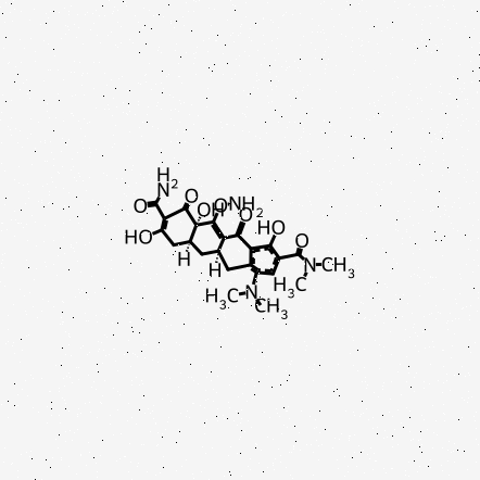 CN(C)C(=O)c1cc(N(C)C)c2c(c1O)C(=O)C1=C(ON)[C@]3(O)C(=O)C(C(N)=O)=C(O)C[C@@H]3C[C@@H]1C2